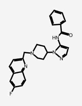 O=C(Nc1ccnn1C1CCN(Cc2ccc3cc(F)ccc3n2)CC1)c1ccccc1